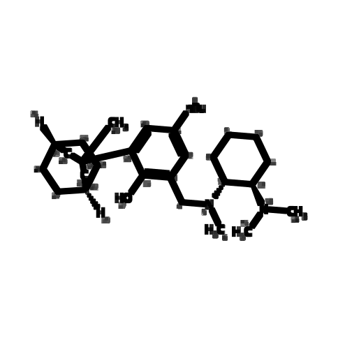 CCCCc1cc(CN(C)[C@@H]2CCCC[C@H]2N(C)C)c(O)c(C2(C)C[C@H]3CC[C@@H](CC3)C2)c1